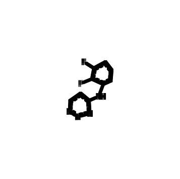 Fc1cccc(Nc2ccnnn2)c1F